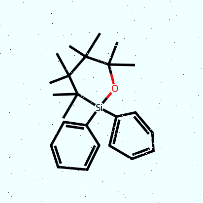 CC1(C)O[Si](c2ccccc2)(c2ccccc2)C(C)(C)C(C)(C)C1(C)C